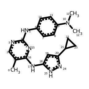 Cc1cnc(Nc2ccc(N(C)C)cc2)nc1Nc1cc(C2CC2)n[nH]1